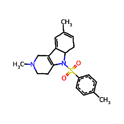 CC1=CCC2C(=C1)C1=C(CCN(C)C1)N2S(=O)(=O)c1ccc(C)cc1